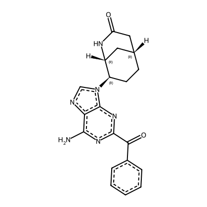 Nc1nc(C(=O)c2ccccc2)nc2c1ncn2[C@@H]1CC[C@H]2CC(=O)N[C@@H]1C2